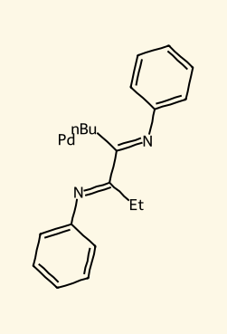 CCCCC(=N\c1ccccc1)/C(CC)=N/c1ccccc1.[Pd]